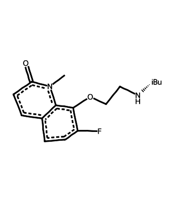 CC[C@@H](C)NCCOc1c(F)ccc2ccc(=O)n(C)c12